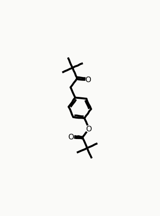 CC(C)(C)C(=O)Cc1ccc(OC(=O)C(C)(C)C)cc1